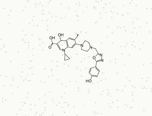 O=C(O)C1=CN(C2CC2)c2cc(N3CCN(Cc4nnc(-c5ccc(O)cc5)o4)CC3)c(F)cc2C1O